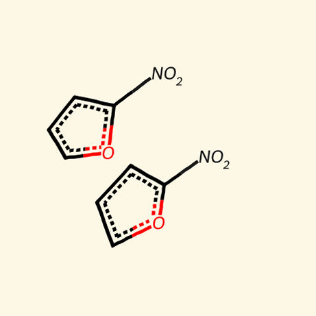 O=[N+]([O-])c1ccco1.O=[N+]([O-])c1ccco1